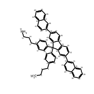 CCCCc1ccc(C2(c3ccc(CCCN)cc3)c3cc(-c4ccc5ccccc5c4)ccc3-c3ccc(-c4ccc5ccccc5c4)cc32)cc1